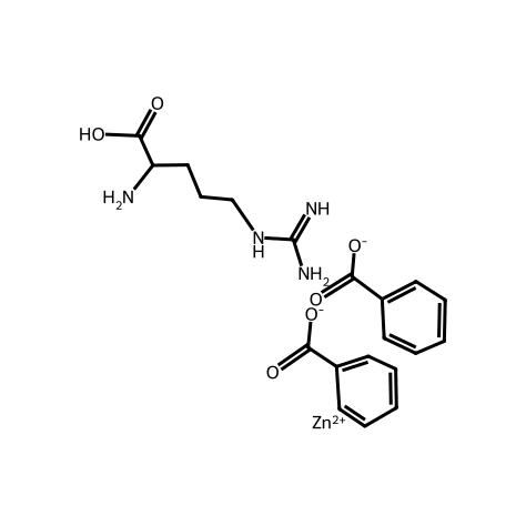 N=C(N)NCCCC(N)C(=O)O.O=C([O-])c1ccccc1.O=C([O-])c1ccccc1.[Zn+2]